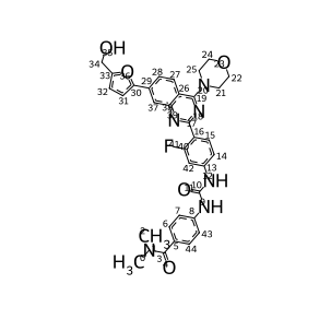 CN(C)C(=O)c1ccc(NC(=O)Nc2ccc(-c3nc(N4CCOCC4)c4ccc(-c5ccc(CO)o5)cc4n3)c(F)c2)cc1